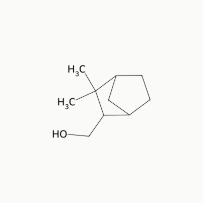 CC1(C)C2CCC(C2)C1CO